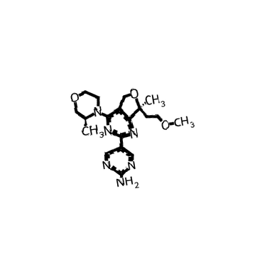 COCC[C@]1(C)OCc2c(N3CCOC[C@@H]3C)nc(-c3cnc(N)nc3)nc21